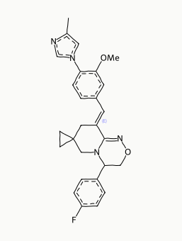 COc1cc(/C=C2\CC3(CC3)CN3C2=NOCC3c2ccc(F)cc2)ccc1-n1cnc(C)c1